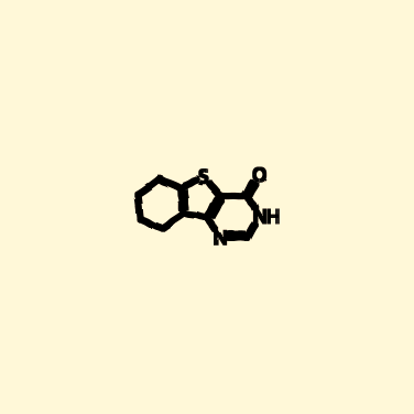 O=c1[nH]cnc2c3c(sc12)CCCC3